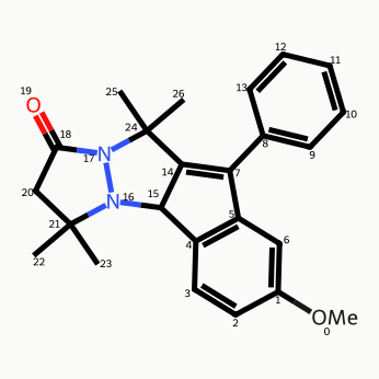 COc1ccc2c(c1)C(c1ccccc1)=C1C2N2N(C(=O)CC2(C)C)C1(C)C